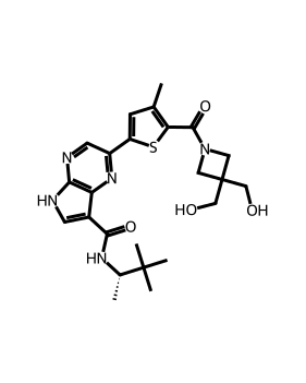 Cc1cc(-c2cnc3[nH]cc(C(=O)N[C@@H](C)C(C)(C)C)c3n2)sc1C(=O)N1CC(CO)(CO)C1